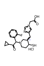 Cl.O=C(O)Cn1cnc(/C=C2\CN(C(C(=O)C3CC3)c3ccccc3F)CCC2S)c1